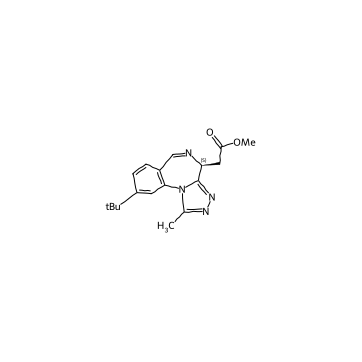 COC(=O)C[C@@H]1N=Cc2ccc(C(C)(C)C)cc2-n2c(C)nnc21